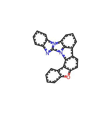 c1ccc2c(c1)nc1n2c2cccc3c4ccc5oc6ccccc6c5c4n1c32